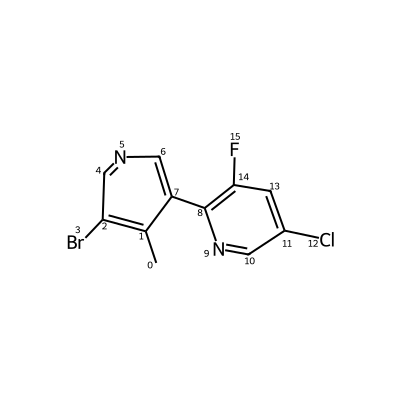 Cc1c(Br)cncc1-c1ncc(Cl)cc1F